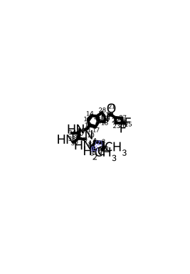 C=C(C)/C=C\C(=C/C)NC1=NC(c2ccc3c(c2)CN(C(=O)C2CC(F)(F)C2)C3)NC2=C1CNC2